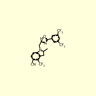 CC1Cc2c(ccc(C#N)c2C(F)(F)F)N1Cc1noc(-c2cc(C(F)(F)F)cc(C(F)(F)F)c2)n1